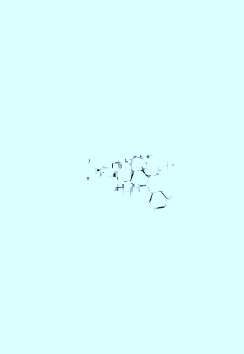 CSc1c(-c2ccccc2)nc(N(C)C(=O)OC(C)(C)C)c2ncn(C)c12